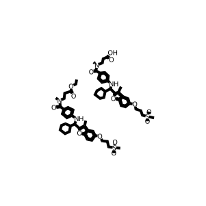 CCOC(=O)CCN(C)C(=O)c1ccc(NC(c2oc3ccc(OCCCS(C)(=O)=O)cc3c2C)C2CCCCC2)cc1.Cc1c(C(Nc2ccc(C(=O)N(C)CCC(=O)O)cc2)C2CCCCC2)oc2ccc(OCCCS(C)(=O)=O)cc12